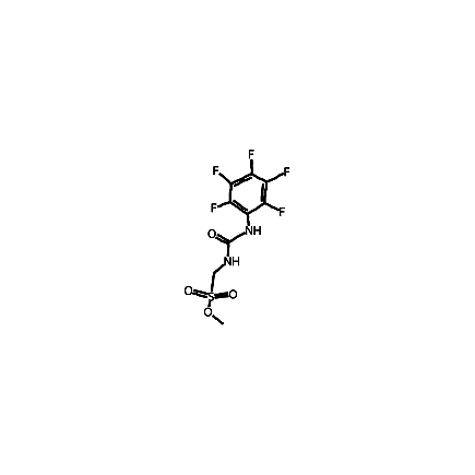 COS(=O)(=O)CNC(=O)Nc1c(F)c(F)c(F)c(F)c1F